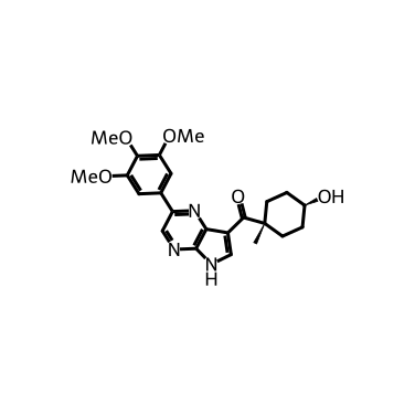 COc1cc(-c2cnc3[nH]cc(C(=O)[C@]4(C)CC[C@@H](O)CC4)c3n2)cc(OC)c1OC